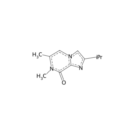 Cc1cn2cc(C(C)C)nc2c(=O)n1C